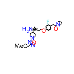 COCc1noc(N2CCC([C@@]3(N)C[C@H]3CCOc3ccc(CC(=O)N4CCC4)c(F)c3)CC2)n1